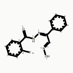 O=C(N/N=C(\C=N\O)c1ccccc1)c1ccccc1F